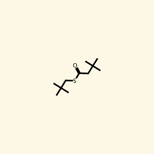 CC(C)(C)CSC(=O)CC(C)(C)C